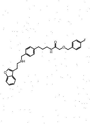 O=C(COCc1ccc(F)cc1)NCCCc1ccc(CNCCc2coc3ccccc23)cc1